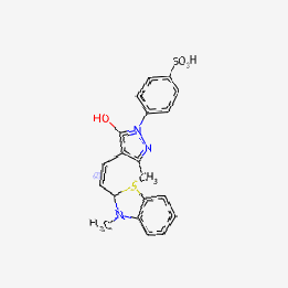 Cc1nn(-c2ccc(S(=O)(=O)O)cc2)c(O)c1/C=C\C1Sc2ccccc2N1C